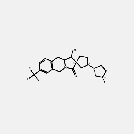 CC1C2Cc3ccc(C(F)(F)F)cc3CN2C(=O)[C@]12CC[C@@H](N1CC[C@H](F)C1)C2